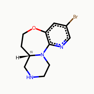 Brc1cnc2c(c1)OCC[C@H]1CNCCN21